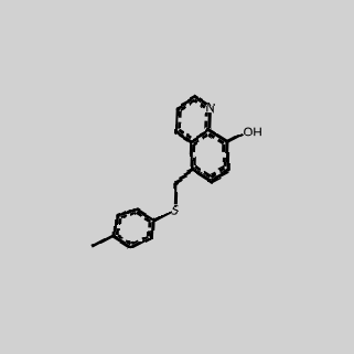 Cc1ccc(SCc2ccc(O)c3ncccc23)cc1